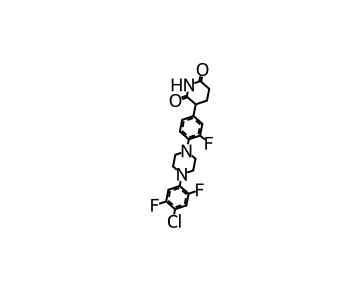 O=C1CCC(c2ccc(N3CCN(c4cc(F)c(Cl)cc4F)CC3)c(F)c2)C(=O)N1